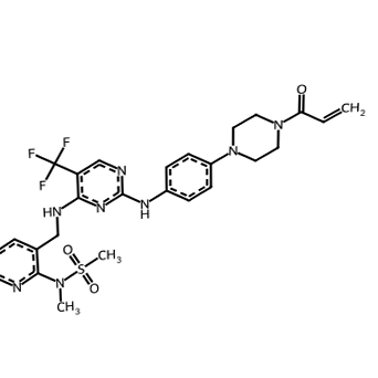 C=CC(=O)N1CCN(c2ccc(Nc3ncc(C(F)(F)F)c(NCc4cccnc4N(C)S(C)(=O)=O)n3)cc2)CC1